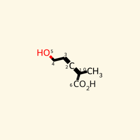 CC(=C=CCO)C(=O)O